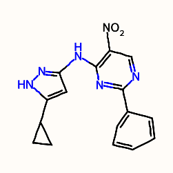 O=[N+]([O-])c1cnc(-c2ccccc2)nc1Nc1cc(C2CC2)[nH]n1